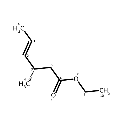 CC=C[C@@H](C)CC(=O)OCC